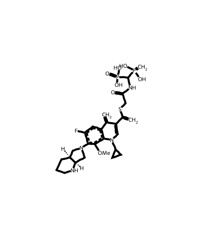 C=C(SCC(=O)NC(P(=C)(O)O)P(=O)(O)O)C1=CN(C2CC2)c2c(cc(F)c(N3C[C@@H]4CCCN[C@@H]4C3)c2OC)C1=C